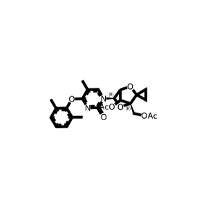 CC(=O)OC[C@]12O[C@@H](n3cc(C)c(Oc4c(C)cccc4C)nc3=O)C(OC13CC3)C2OC(C)=O